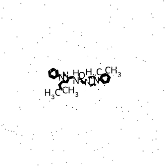 Cc1cccc(N2CCN(CC(=O)NCc3cc(CC(C)C)n(-c4ccccc4)n3)CC2)c1C